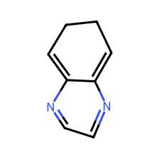 C1=c2nccnc2=CCC1